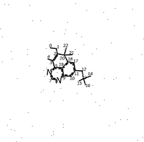 CCC1=C(C)c2ncnc3cc(CC(C)(C)C)cc(c23)C1(C)C